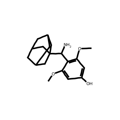 COc1cc(O)cc(OC)c1C(N)C12CC3CC(CC(C3)C1)C2